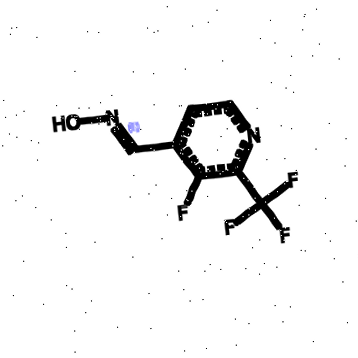 O/N=C/c1ccnc(C(F)(F)F)c1F